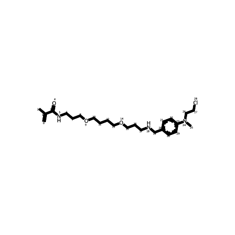 C=C(C)C(=O)NCCCOCCCCOCCCNCc1ccc(N(C)CCCl)cc1